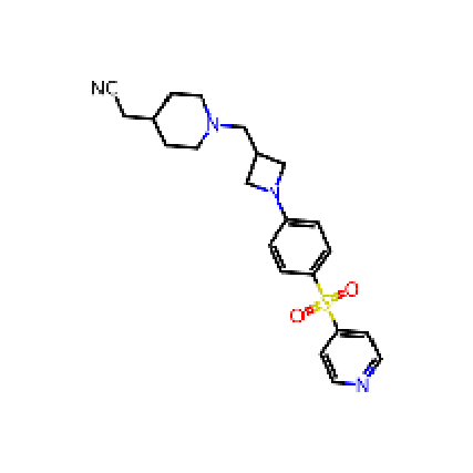 N#CCC1CCN(CC2CN(c3ccc(S(=O)(=O)c4ccncc4)cc3)C2)CC1